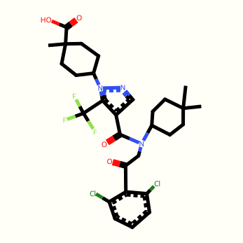 CC1(C)CCC(N(CC(=O)c2c(Cl)cccc2Cl)C(=O)c2cnn(C3CCC(C)(C(=O)O)CC3)c2C(F)(F)F)CC1